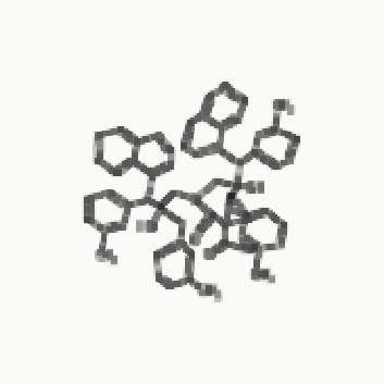 Cc1cccc(CC(O)(CN(CC(O)(Cc2cccc(C)c2)C(c2cccc(C)c2)c2cccc3ccccc23)C(=O)C2(C(N)=O)CC2)C(c2cccc(C)c2)c2cccc3ccccc23)c1